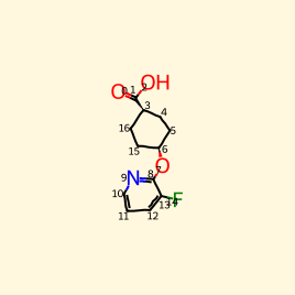 O=C(O)[C@H]1CC[C@@H](Oc2ncccc2F)CC1